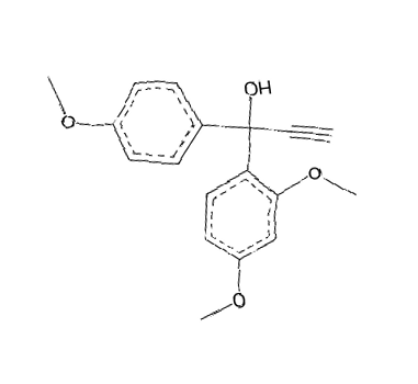 C#CC(O)(c1ccc(OC)cc1)c1ccc(OC)cc1OC